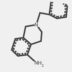 Nc1cccc2c1CCN(Cc1ccccc1)C2